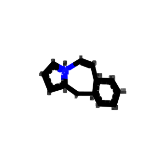 C1=Cn2cccc2Cc2ccccc21